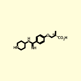 C[C@@H](COc1ccc(C(=N)NC2CCNCC2)cc1)C(=O)O